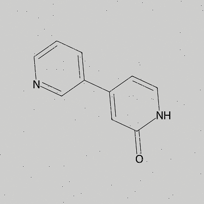 O=c1cc(-c2cccnc2)cc[nH]1